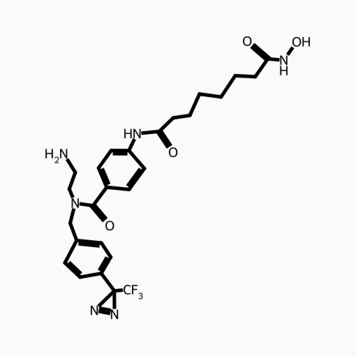 NCCN(Cc1ccc(C2(C(F)(F)F)N=N2)cc1)C(=O)c1ccc(NC(=O)CCCCCCC(=O)NO)cc1